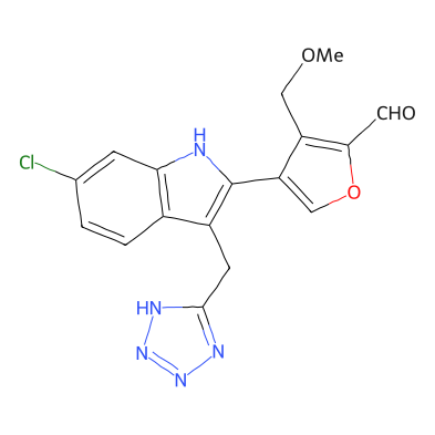 COCc1c(-c2[nH]c3cc(Cl)ccc3c2Cc2nnn[nH]2)coc1C=O